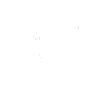 N#Cc1c(C2CCCCC2)cc(=O)[nH]c1SCc1cccc(C(=O)O)c1